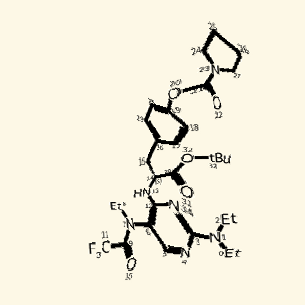 CCN(CC)c1ncc(N(CC)C(=O)C(F)(F)F)c(N[C@@H](Cc2ccc(OC(=O)N3CCCC3)cc2)C(=O)OC(C)(C)C)n1